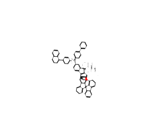 CC1(C)c2cc(-c3cccc4c3C3(c5ccccc5-c5ccccc53)c3ccccc3-4)ccc2-c2ccc(N(c3ccc(-c4ccccc4)cc3)c3ccc(-c4cccc5ccccc45)cc3)cc21